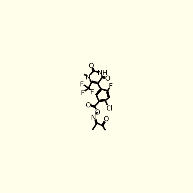 CC(=O)C(C)=NOC(=O)c1cc(-c2c(C(F)(F)F)n(C)c(=O)[nH]c2=O)c(F)cc1Cl